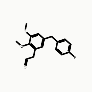 COc1cc(Cc2ccc(F)cc2)cc(CC=O)c1OC